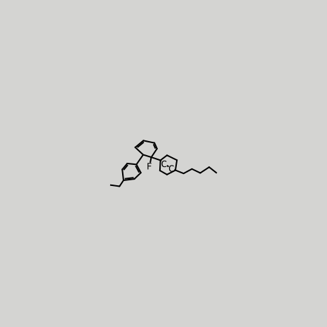 CCCCCC12CCC(C3(F)C=CC=CC3c3ccc(CC)cc3)(CC1)CC2